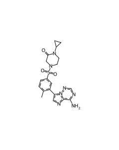 Cc1ccc(S(=O)(=O)N2CCN(C3CC3)C(=O)C2)cc1-c1cnc2c(N)ncnn12